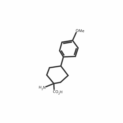 COc1ccc(C2CCC(N)(C(=O)O)CC2)cc1